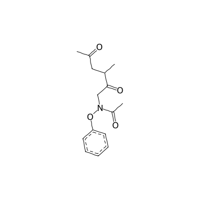 CC(=O)CC(C)C(=O)CN(Oc1ccccc1)C(C)=O